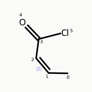 C/C=C\C(=O)Cl